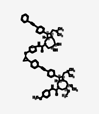 COc1ccc(NC(=O)N2C[C@@H](OC)[C@@H](OC)CN3[C@H](CN(C)C)[C@H](c4ccc(C#Cc5ccc(C6CC6Oc6ccc(NC(=O)N7C[C@@H](O)[C@@H](O)CN8[C@H](CN(C)C)[C@H](c9ccc(C#Cc%10ccccc%10)cc9)[C@@H]8C7)cc6)cc5)cc4)[C@@H]3C2)cc1